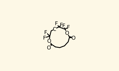 O=C1CCCCC(=O)OC(F)(F)C(F)(F)CCC(F)(F)O1